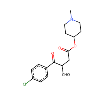 CN1CCC(OC(=O)CC(C=O)C(=O)c2ccc(Cl)cc2)CC1